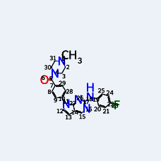 CN1CCN(C(=O)c2ccc(-n3ccc4cnc(Nc5ccc(F)cc5)nc43)cc2)CC1